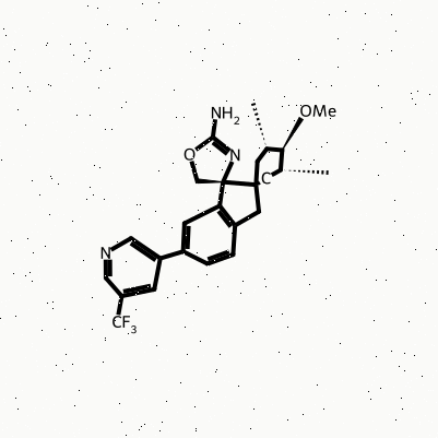 CO[C@H]1[C@H](C)C[C@@]2(Cc3ccc(-c4cncc(C(F)(F)F)c4)cc3[C@@]23COC(N)=N3)C[C@@H]1C